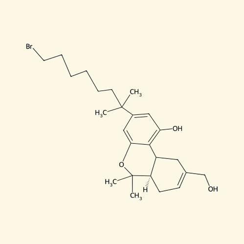 CC(C)(CCCCCCBr)c1cc(O)c2c(c1)OC(C)(C)[C@@H]1CC=C(CO)CC21